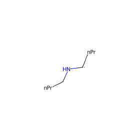 [CH2]CC[CH]NCCCC